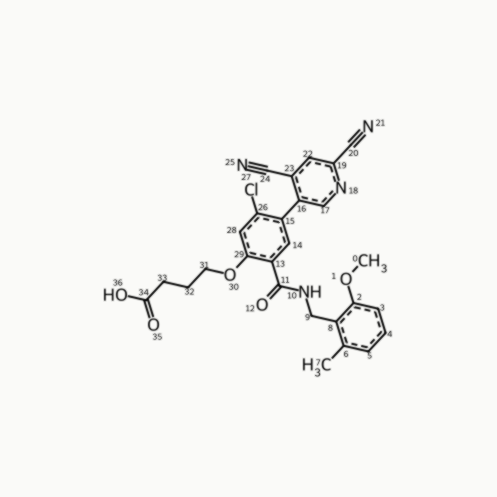 COc1cccc(C)c1CNC(=O)c1cc(-c2cnc(C#N)cc2C#N)c(Cl)cc1OCCCC(=O)O